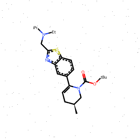 CCN(Cc1nc2cc(C3=CC[C@H](C)CN3C(=O)OC(C)(C)C)ccc2s1)C(C)C